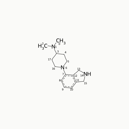 CN(C)C1CCN(c2cccc3c2CNC3)CC1